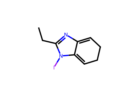 CCc1nc2c(n1I)=CCCC=2